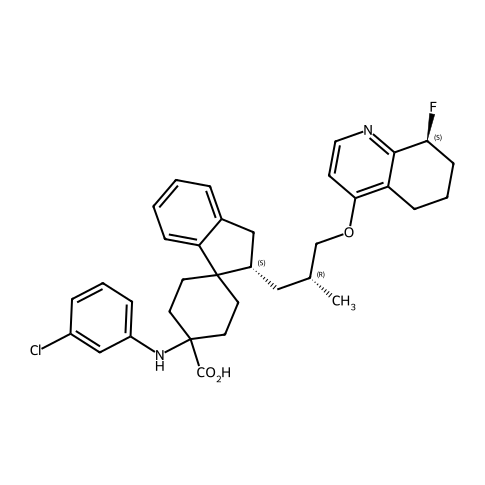 C[C@@H](COc1ccnc2c1CCC[C@@H]2F)C[C@H]1Cc2ccccc2C12CCC(Nc1cccc(Cl)c1)(C(=O)O)CC2